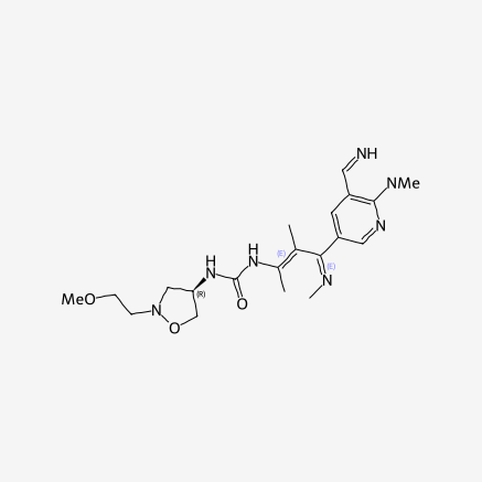 C/N=C(\C(C)=C(/C)NC(=O)N[C@H]1CON(CCOC)C1)c1cnc(NC)c(C=N)c1